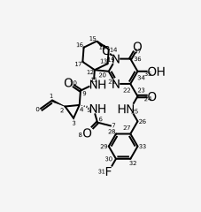 C=C[C@@H]1C[C@]1(NC(C)=O)C(=O)NC12CCC(CC1)Cn1c2nc(C(=O)NCc2ccc(F)cc2)c(O)c1=O